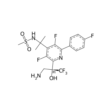 CC(C)(NS(C)(=O)=O)c1c(F)c(-c2ccc(F)cc2)nc([C@](O)(CN)C(F)(F)F)c1F